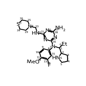 CCC(C1CCCN1)N(c1ccc(OC)c(F)c1)c1nc(N)nc(NCN2CCSCC2)n1